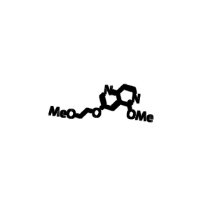 COCCOc1cnc2ccnc(OC)c2c1